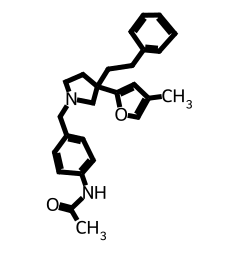 CC(=O)Nc1ccc(CN2CCC(CCc3ccccc3)(c3cc(C)co3)C2)cc1